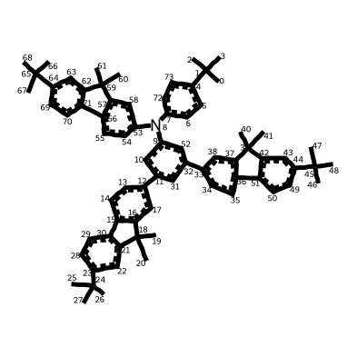 CC(C)(C)c1ccc(N(c2cc(-c3ccc4c(c3)C(C)(C)c3cc(C(C)(C)C)ccc3-4)cc(-c3ccc4c(c3)C(C)(C)c3cc(C(C)(C)C)ccc3-4)c2)c2ccc3c(c2)C(C)(C)c2cc(C(C)(C)C)ccc2-3)cc1